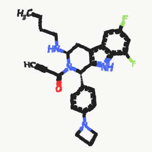 C#CC(=O)N1[C@@H](c2ccc(N3CCC3)cc2)c2[nH]c3c(F)cc(F)cc3c2C[C@@H]1NCCCC